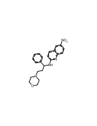 O=[N+]([O-])c1ccc2nc(NC(CCN3CCOCC3)c3ccccc3)ccc2c1